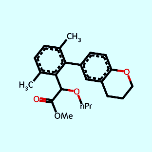 CCCOC(C(=O)OC)c1c(C)ccc(C)c1-c1ccc2c(c1)CCCO2